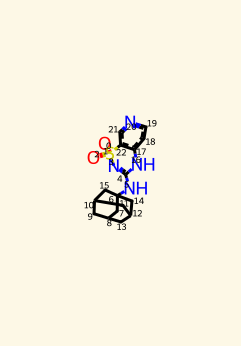 O=S1(=O)N=C(NC23CC4CC(CC(C4)C2)C3)Nc2ccncc21